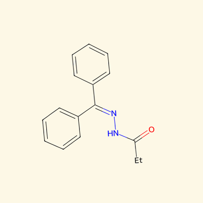 CCC(=O)NN=C(c1ccccc1)c1ccccc1